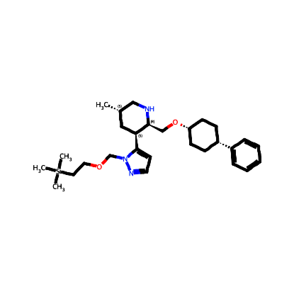 C[C@@H]1CN[C@@H](CO[C@H]2CC[C@@H](c3ccccc3)CC2)[C@@H](c2ccnn2COCC[Si](C)(C)C)C1